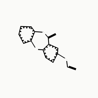 O=CNc1ccc2c(c1)C(=O)Nc1ccccc1O2